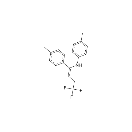 Cc1ccc(N/C(=C\CC(F)(F)F)c2ccc(C)cc2)cc1